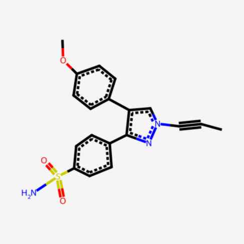 CC#Cn1cc(-c2ccc(OC)cc2)c(-c2ccc(S(N)(=O)=O)cc2)n1